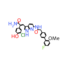 COc1ccc(F)cc1-c1ccc(CC(=O)Nc2ccc3c(C=C(C(N)=O)c4ccc(O)c(Cl)c4)c[nH]c3n2)cc1